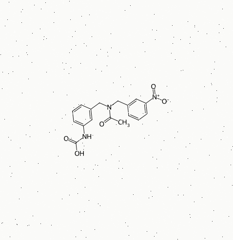 CC(=O)N(Cc1cccc(NC(=O)O)c1)Cc1cccc([N+](=O)[O-])c1